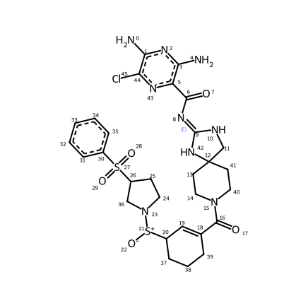 Nc1nc(N)c(C(=O)/N=C2\NCC3(CCN(C(=O)C4=CC([S+]([O-])N5CCC(S(=O)(=O)c6ccccc6)C5)CCC4)CC3)N2)nc1Cl